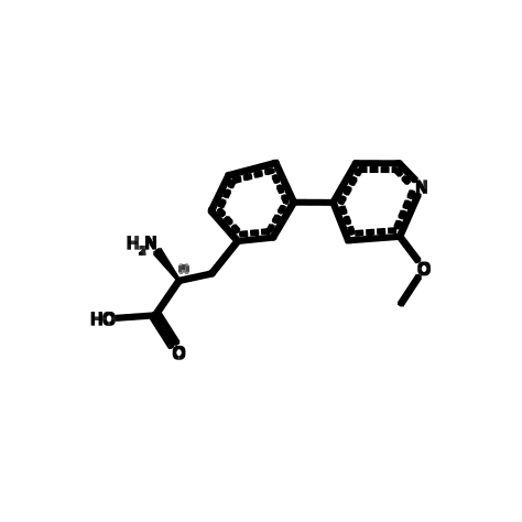 COc1cc(-c2cccc(C[C@H](N)C(=O)O)c2)ccn1